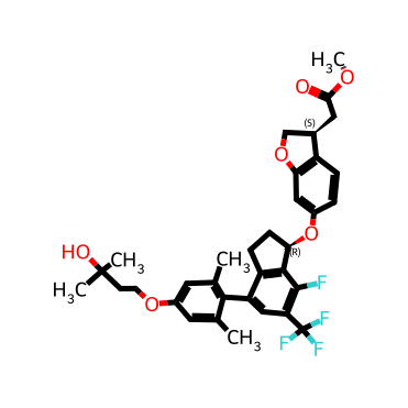 COC(=O)C[C@@H]1COc2cc(O[C@@H]3CCc4c(-c5c(C)cc(OCCC(C)(C)O)cc5C)cc(C(F)(F)F)c(F)c43)ccc21